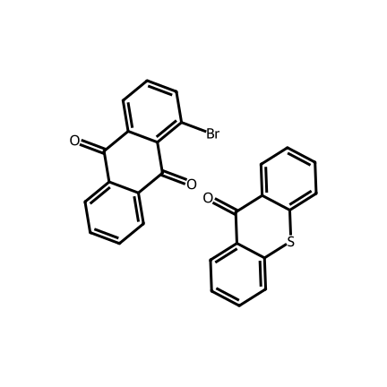 O=C1c2ccccc2C(=O)c2c(Br)cccc21.O=c1c2ccccc2sc2ccccc12